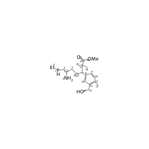 CCP/C=C(\N)COC(c1ccc(C)c(CO)c1)C(C)(C)C(=O)OC